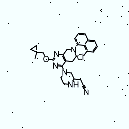 [CH2]C1(COc2nc3c(c(N4CCNC(CC#N)C4)n2)CCN(c2cccc4cccc(Cl)c24)C3)CC1